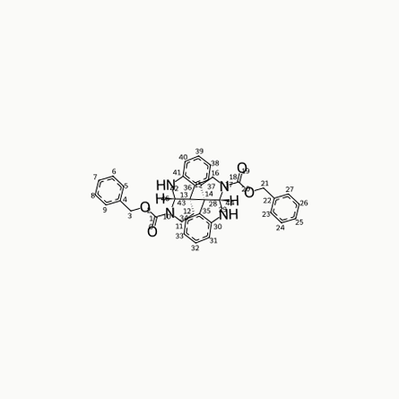 O=C(OCc1ccccc1)N1CC[C@@]2([C@@]34CCN(C(=O)OCc5ccccc5)[C@@H]3Nc3ccccc34)c3ccccc3N[C@@H]12